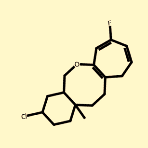 CC12CCC3=C(C=C(F)C=CC3)OCC1CC(Cl)CC2